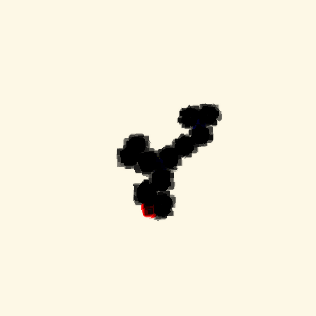 c1cc(-c2cccc3oc4ccccc4c23)cc(N(c2ccc(-c3ccc(-c4cccc(-n5c6ccccc6c6ccccc65)c4)cc3)cc2)c2ccc(-c3cccc4ccccc34)cc2)c1